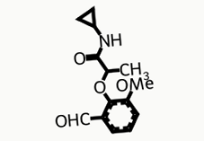 COc1cccc(C=O)c1OC(C)C(=O)NC1CC1